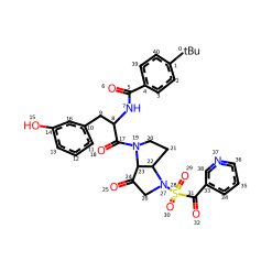 CC(C)(C)c1ccc(C(=O)NC(Cc2cccc(O)c2)C(=O)N2CCC3C2C(=O)CN3S(=O)(=O)C(=O)c2cccnc2)cc1